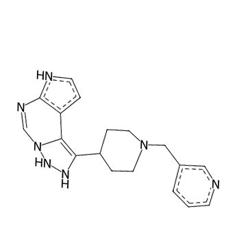 C1=Nc2[nH]ccc2C2=C(C3CCN(Cc4cccnc4)CC3)NNN12